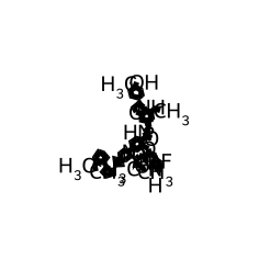 CCc1cc(SNC(=O)c2ccc(N3CCC4(CC3)CC(N3CCC[C@H]3c3ccccc3C(C)C)C4)cc2Oc2cc3c(F)c[nH]c3nc2OC[C@@H](C)OC)cc2c1NC([C@H]1CC[C@](C)(O)CC1)CO2